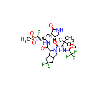 CC(C)(C)[C@H](NC(=O)C(F)(F)F)C(=O)N1CC2CC(F)(F)CC2C1C(=O)N[C@H](/C=C(\F)S(C)(=O)=O)C[C@@H]1CCNC1=O